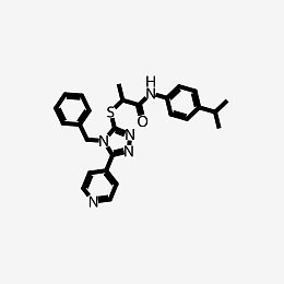 CC(Sc1nnc(-c2ccncc2)n1Cc1ccccc1)C(=O)Nc1ccc(C(C)C)cc1